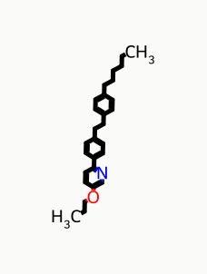 CCCCCCc1ccc(CCc2ccc(-c3ccc(OCCC)cn3)cc2)cc1